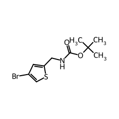 CC(C)(C)OC(=O)NCc1cc(Br)cs1